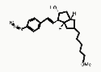 COCCCCCC1C[C@H]2C[C@@H](O)[C@H](/C=C/c3ccc(N=[N+]=[N-])cc3)[C@H]2C1